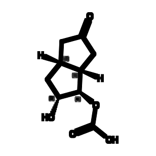 O=C1C[C@H]2C[C@@H](O)[C@H](OC(=O)O)[C@H]2C1